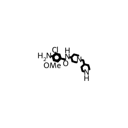 COc1cc(N)c(Cl)cc1C(=O)NC1CCN(CC2CCNCC2)CC1